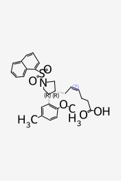 COc1ccc(C)cc1[C@@H]1CN(S(=O)(=O)c2cccc3ccccc23)C[C@@H]1C/C=C\CCC(=O)O